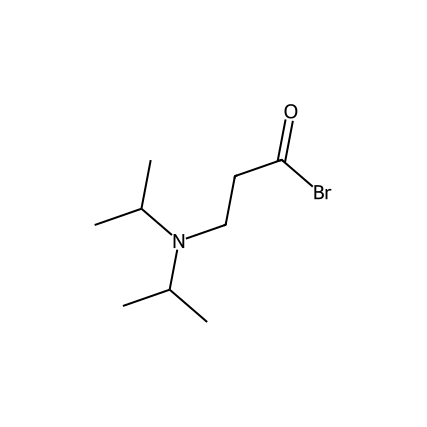 CC(C)N(CCC(=O)Br)C(C)C